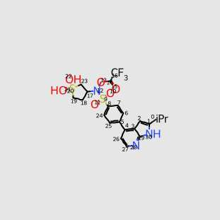 CC(C)c1cc2c(-c3ccc(S(=O)(=O)N(OC(=O)C(F)(F)F)C4CCS(O)(O)C4)cc3)ccnc2[nH]1